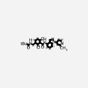 Cc1cc(-n2ncc3c(NC(=O)c4c(Cl)ccc(CNC(=O)C(C)(C)C)c4Cl)cccc32)ccn1